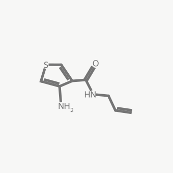 C=CCNC(=O)c1cscc1N